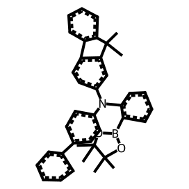 CC1(C)c2ccccc2-c2ccc(N(c3ccc(-c4ccccc4)cc3)c3ccccc3B3OC(C)(C)C(C)(C)O3)cc21